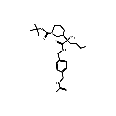 CCCCC(N)(C(=O)NCc1ccc(CNC(C)=O)cc1)C1CCCN(C(=O)OC(C)(C)C)C1